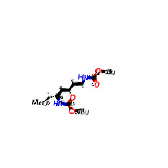 COC[C@H](CCCCNC(=O)OC(C)(C)C)NC(=O)OC(C)(C)C